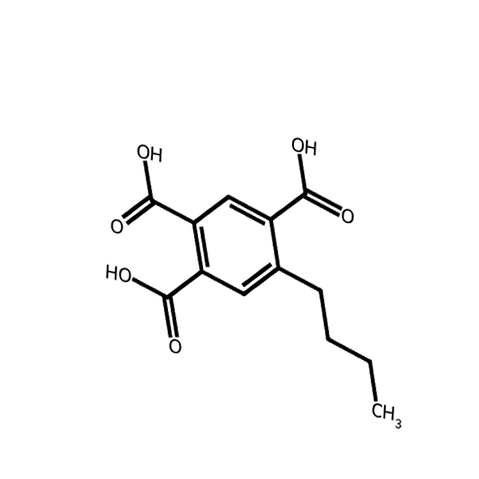 CCCCc1cc(C(=O)O)c(C(=O)O)cc1C(=O)O